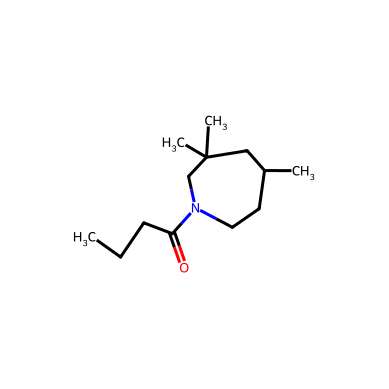 CCCC(=O)N1CCC(C)CC(C)(C)C1